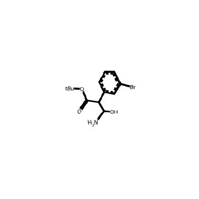 CC(C)(C)OC(=O)C(c1cccc(Br)c1)C(N)O